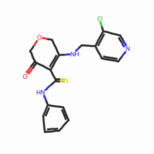 O=C1COCC(NCc2ccncc2Cl)=C1C(=S)Nc1ccccc1